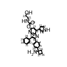 NC1(c2ccc(-c3nc4c(-c5cc[nH]n5)cc(OC(=O)NCCO)nn4c3-c3ccccc3)cc2)CCC1